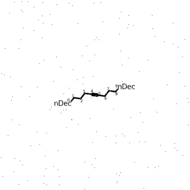 [CH2]CCCCCCCCCCCCC#CCCCCCCCCCCCC[CH2]